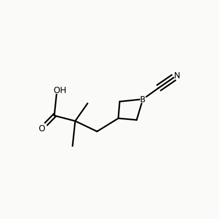 CC(C)(CC1CB(C#N)C1)C(=O)O